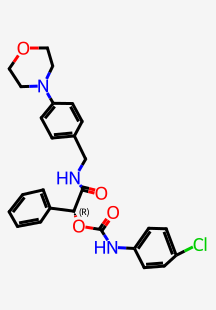 O=C(Nc1ccc(Cl)cc1)O[C@@H](C(=O)NCc1ccc(N2CCOCC2)cc1)c1ccccc1